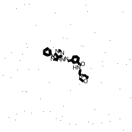 O=C(NCCN1CCOCC1)c1cccc(C=NNc2ncnc3c2cnn3-c2ccccc2)c1